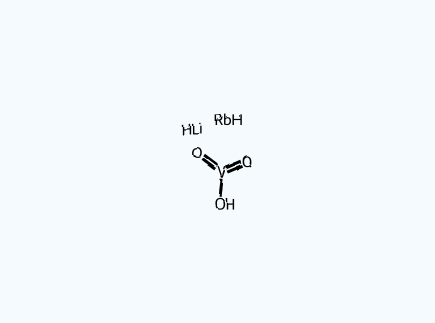 [LiH].[O]=[V](=[O])[OH].[RbH]